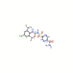 CC(C)c1cc(Cl)cc(C(C)C)c1NC(=O)NS(=O)(=O)c1cnc(C(=O)N(C)C)cn1